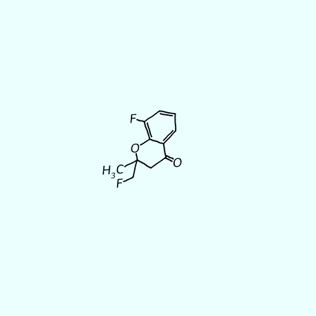 CC1(CF)CC(=O)c2cccc(F)c2O1